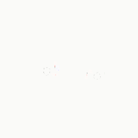 O=C(CCCCCCCNC(=O)c1ccccc1O)Oc1c(F)c(F)cc(F)c1F